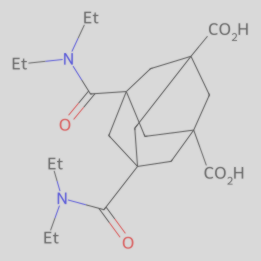 CCN(CC)C(=O)C12CC3(C(=O)O)CC(C(=O)O)(C1)CC(C(=O)N(CC)CC)(C3)C2